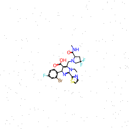 CCN1C(c2nccs2)=NC(c2ccc(F)cc2Br)C(C(=O)O)=C1CN1CC(F)(F)CC1C(=O)NC